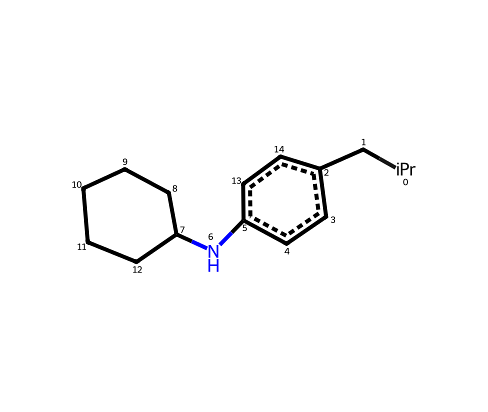 CC(C)Cc1ccc(NC2CCCCC2)cc1